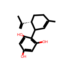 C=C(C)[C@@H]1CCC(C)=CC1c1c(O)cc(O)cc1O